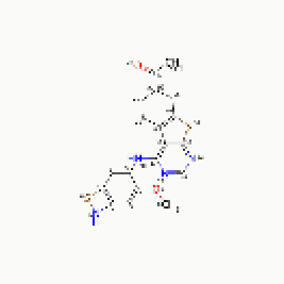 COc1cc2[nH]sc2cc1Nc1ncnc2sc3c(c12)CC[C@H](C(C)=O)C3